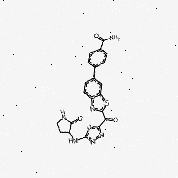 NC(=O)c1ccc(-c2ccc3nc(C(=O)c4nnc(NC5CCNC5=O)o4)sc3c2)cc1